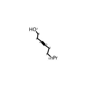 CCCCCC#CCCO